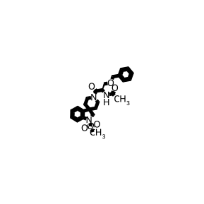 CC(=O)N[C@H](COCc1ccccc1)C(=O)N1CCC2(CC1)CN(S(C)(=O)=O)c1ccccc12